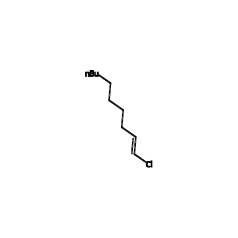 CCCCCCCCC=CCl